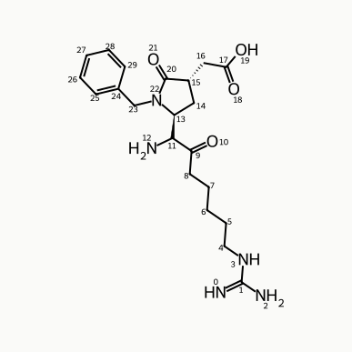 N=C(N)NCCCCCC(=O)C(N)[C@@H]1C[C@@H](CC(=O)O)C(=O)N1Cc1ccccc1